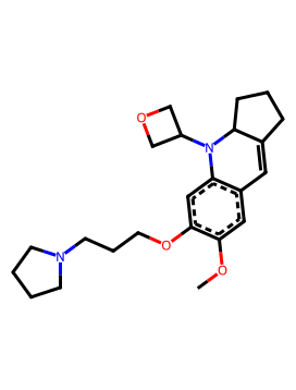 COc1cc2c(cc1OCCCN1CCCC1)N(C1COC1)C1CCCC1=C2